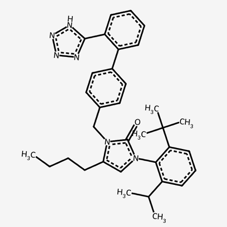 CCCCc1cn(-c2c(C(C)C)cccc2C(C)(C)C)c(=O)n1Cc1ccc(-c2ccccc2-c2nnn[nH]2)cc1